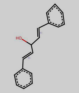 OC(/C=C/c1ccccc1)/C=C/c1ccccc1